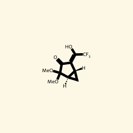 COC1(OC)C(=O)/C(=C(\O)C(F)(F)F)[C@@H]2C[C@H]21